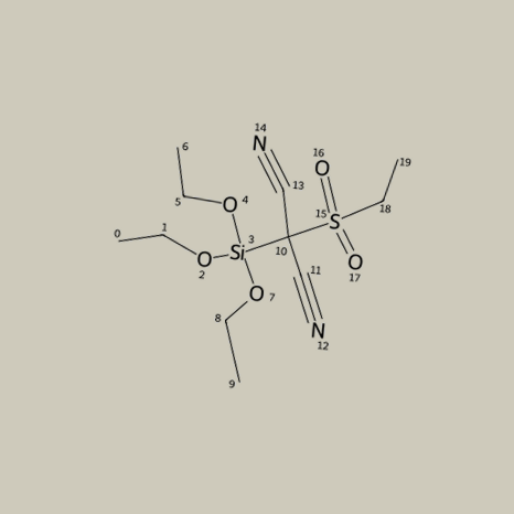 CCO[Si](OCC)(OCC)C(C#N)(C#N)S(=O)(=O)CC